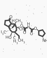 CC[C@]1(C)C[C@@H](OC(=O)NC(=O)O[C@H]2CC[C@H](N)C2)[C@]2(C)[C@H](C)CC[C@]3(CCC(=O)[C@H]32)[C@@H](C)[C@@H]1O